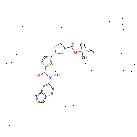 CN(C(=O)c1ccc(C2CCN(C(=O)OC(C)(C)C)C2)s1)c1ccn2ccnc2c1